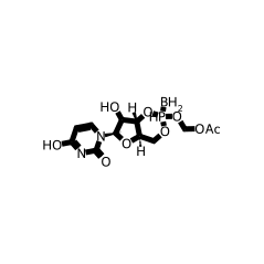 B[PH]1(OCOC(C)=O)OC[C@H]2O[C@@H](n3ccc(O)nc3=O)C(O)[C@@H]2O1